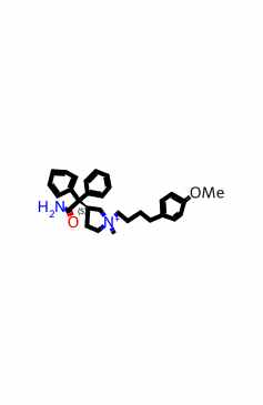 COc1ccc(CCCC[N+]2(C)CC[C@@H](C(C(N)=O)(c3ccccc3)c3ccccc3)C2)cc1